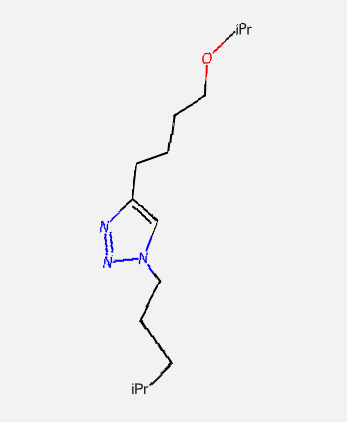 CC(C)CCCn1cc(CCCCOC(C)C)nn1